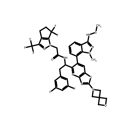 CSNc1nn(C)c2c(-c3cc4sc(N5CC6(COC6)C5)nc4nc3C(Cc3cc(F)cc(F)c3)NC(=O)Cn3nc(C(F)(F)F)c4c3C(F)(F)CC4)cccc12